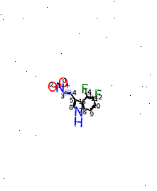 O=[N+]([O-])/C=C/c1c[nH]c2ccc(F)c(F)c12